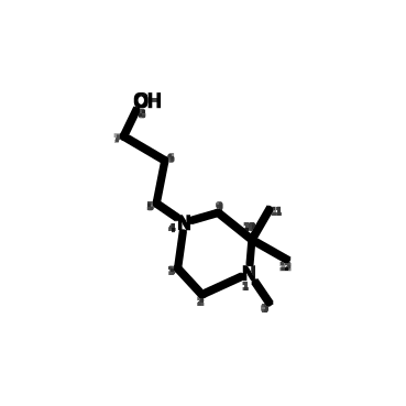 CN1CCN(CCCO)CC1(C)C